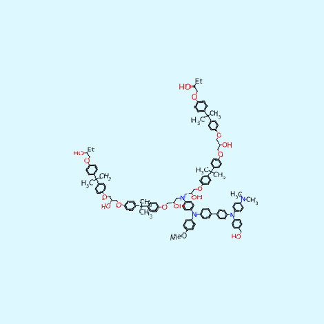 CCC(O)COc1ccc(C(C)(C)c2ccc(OCC(O)COc3ccc(C(C)(C)c4ccc(OCC(O)CN(CC(O)COc5ccc(C(C)(C)c6ccc(OCC(O)COc7ccc(C(C)(C)c8ccc(OCC(O)CC)cc8)cc7)cc6)cc5)c5ccc(N(c6ccc(OC)cc6)c6ccc(-c7ccc(N(c8ccc(CO)cc8)c8ccc(N(C)C)cc8)cc7)cc6)cc5)cc4)cc3)cc2)cc1